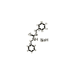 S=C(NCc1ccccc1)SCc1ccccc1.[NaH]